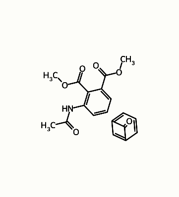 COC(=O)c1cccc(NC(C)=O)c1C(=O)OC.O=C1c2cccc1c2